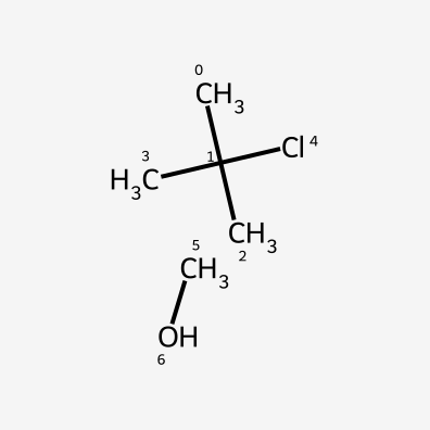 CC(C)(C)Cl.CO